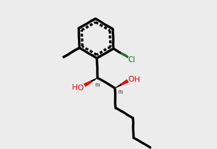 CCCC[C@H](O)[C@@H](O)c1c(C)cccc1Cl